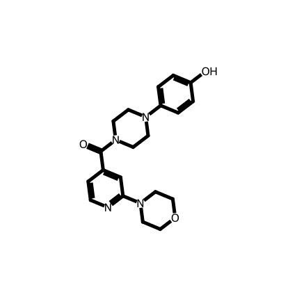 O=C(c1ccnc(N2CCOCC2)c1)N1CCN(c2ccc(O)cc2)CC1